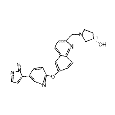 O[C@H]1CCN(Cc2ccc3cc(Oc4ccc(-c5ccn[nH]5)cn4)ccc3n2)C1